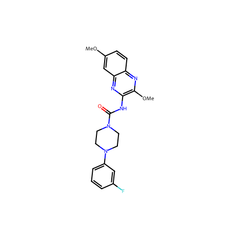 COc1ccc2nc(OC)c(NC(=O)N3CCN(c4cccc(F)c4)CC3)nc2c1